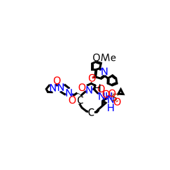 COc1ccc2c(O[C@@H]3C[C@H]4C(=O)NC5(C(=O)NS(=O)(=O)C6CC6)CC5/C=C\CCCCC[C@H](CC(=O)N5CCN(C(=O)N6CCCC6)CC5)C(=O)N4C3)cc(-c3ccccc3)nc2c1